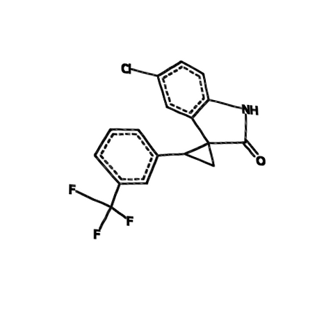 O=C1Nc2ccc(Cl)cc2C12CC2c1cccc(C(F)(F)F)c1